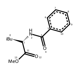 CC[C@H](C)[C@H](NC(=O)c1ccccc1)C(=O)OC